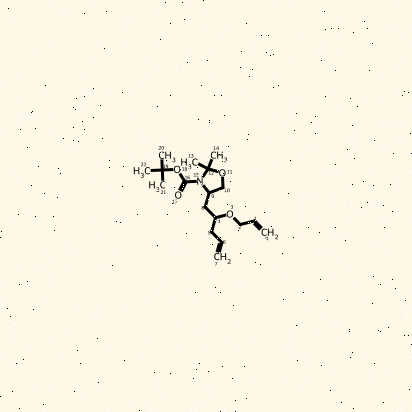 C=CCOC(CC=C)CC1COC(C)(C)N1C(=O)OC(C)(C)C